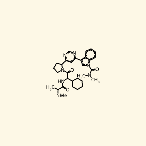 CNC(C)C(=O)NC(C(=O)N1CCCC1c1cc(-c2cn(C(=O)N(C)C)c3ccccc23)ncn1)C1CCCCC1